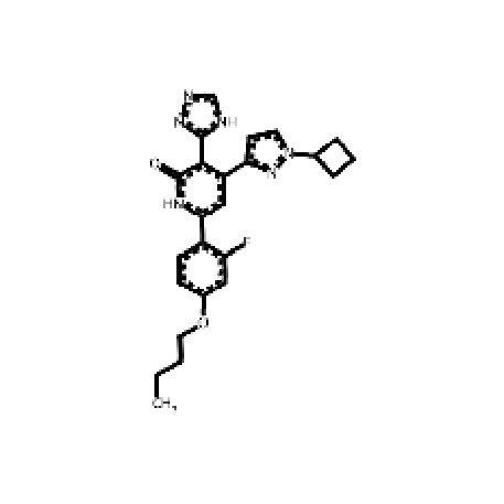 CCCCOc1ccc(-c2cc(-c3ccn(C4CCC4)n3)c(-c3nnc[nH]3)c(=O)[nH]2)c(F)c1